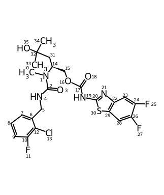 CN(C(=O)NCc1cccc(F)c1Cl)[C@H](COC(=O)Nc1nc2cc(F)c(F)cc2s1)CC(C)(C)O